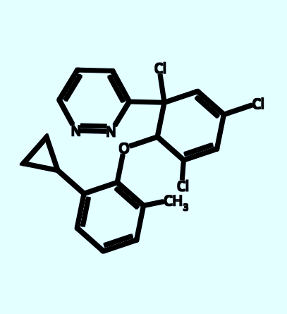 Cc1cccc(C2CC2)c1OC1C(Cl)=CC(Cl)=CC1(Cl)c1cccnn1